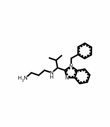 CC(C)C(NCCCN)c1nc2ccccc2n1Cc1ccccc1